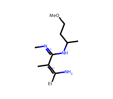 CC/C(N)=C(C)/C(=N\C)NC(C)CCOC